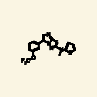 CN(c1cccs1)c1nn2c(-c3cccc(OC(F)(F)F)c3)cnc2s1